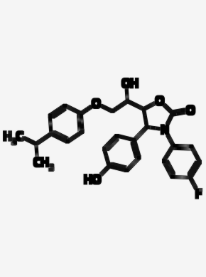 CC(C)c1ccc(OCC(O)C2OC(=O)N(c3ccc(F)cc3)C2c2ccc(O)cc2)cc1